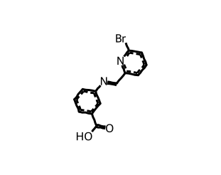 O=C(O)c1cccc(N=Cc2cccc(Br)n2)c1